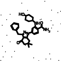 CC1(C)CC(=O)c2c(Cc3ccccc3)nn(-c3ccc(C(N)=O)c(NC4CCC(O)CC4)c3)c2C1